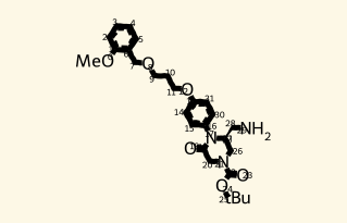 COc1ccccc1COCCCOc1ccc(N2C(=O)CN(C(=O)OC(C)(C)C)C[C@@H]2CN)cc1